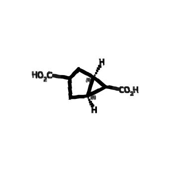 O=C(O)C1C[C@@H]2C(C(=O)O)[C@@H]2C1